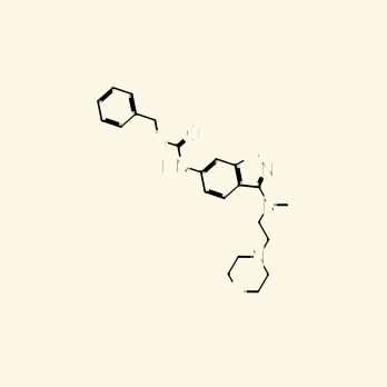 CN(CCN1CCOCC1)c1noc2cc(NC(=O)OCc3ccccc3)ccc12